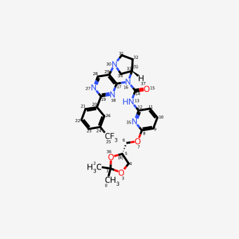 CC1(C)OC[C@@H](COc2cccc(NC(=O)N3c4nc(-c5cccc(C(F)(F)F)c5)ncc4N4CC[C@H]3C4)n2)O1